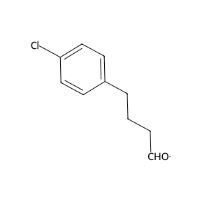 O=[C]CCCc1ccc(Cl)cc1